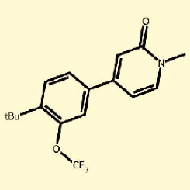 Cn1ccc(-c2ccc(C(C)(C)C)c(OC(F)(F)F)c2)cc1=O